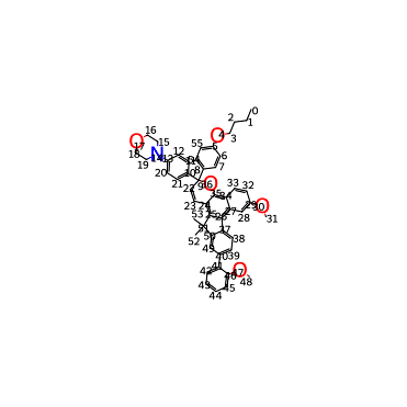 CCCCOc1ccc(C2(c3ccc(N4CCOCC4)cc3)C=Cc3c4c(c5cc(OC)ccc5c3O2)-c2ccc(-c3ccccc3OC)cc2C4(C)C)cc1